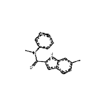 Cc1ccc2cc(C(=O)N(C)c3ccccc3)[nH]c2c1